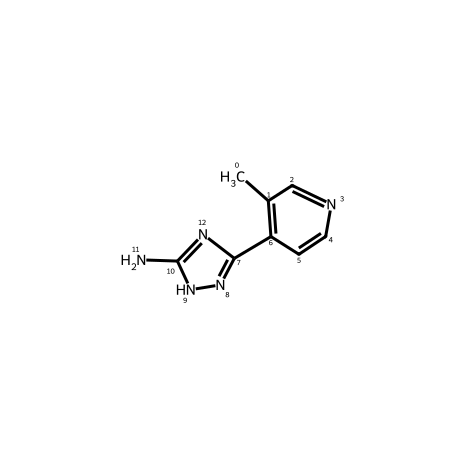 Cc1cnccc1-c1n[nH]c(N)n1